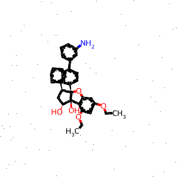 CCOc1cc(OCC)c2c(c1)O[C@@]1(c3ccc(-c4cccc(N)c4)cc3)[C@H](c3ccccc3)C[C@@H](O)[C@@]21O